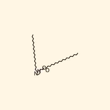 CCCCCCCCCCCCCCCCCCC1=NCCN1CCOC(=O)CCCCCCCCCCCCCCCCC